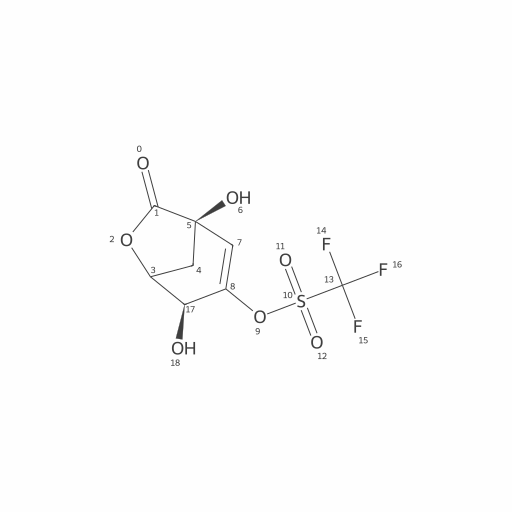 O=C1OC2C[C@@]1(O)C=C(OS(=O)(=O)C(F)(F)F)[C@H]2O